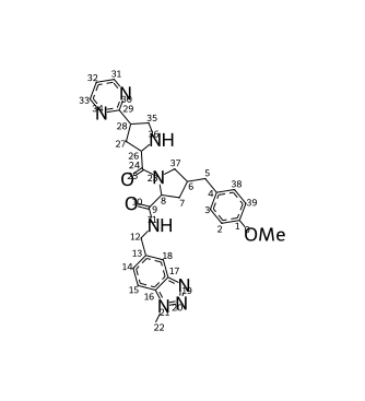 COc1ccc(CC2CC(C(=O)NCc3ccc4c(c3)nnn4C)N(C(=O)C3CC(c4ncccn4)CN3)C2)cc1